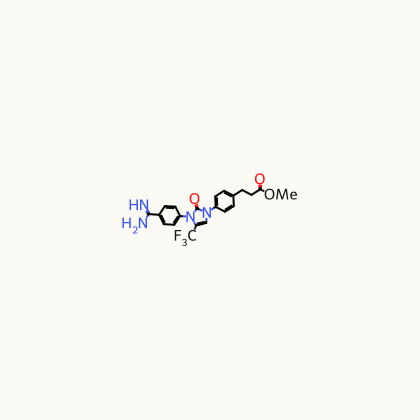 COC(=O)CCc1ccc(-n2cc(C(F)(F)F)n(-c3ccc(C(=N)N)cc3)c2=O)cc1